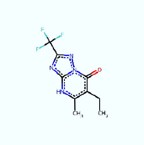 CCc1c(C)[nH]c2nc(C(F)(F)F)nn2c1=O